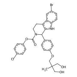 CC(CO)(CO)COc1ccc(C2c3[nH]c4ccc(Br)cc4c3CCN2C(=O)Oc2ccc(Cl)cc2)cc1